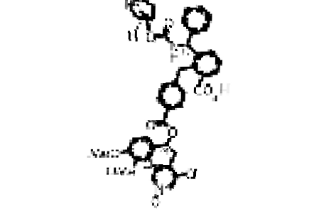 COc1ccc([C@H](Cc2c(Cl)c[n+]([O-])cc2Cl)OC(=O)c2ccc(Cc3c(C(=O)O)cccc3[C@@H](NC(=O)O[C@H]3CN4CCC3CC4)c3ccccc3)cc2)cc1OC